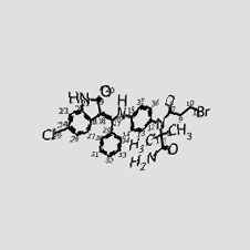 CC(C)(C(N)=O)N(C(=O)CCBr)c1ccc(N/C(=C2\C(=O)Nc3cc(Cl)ccc32)c2ccccc2)cc1